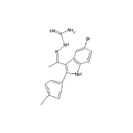 C/C(=N/NC(=N)N)c1c(-c2ccc(C)cc2)[nH]c2ccc(Br)cc12